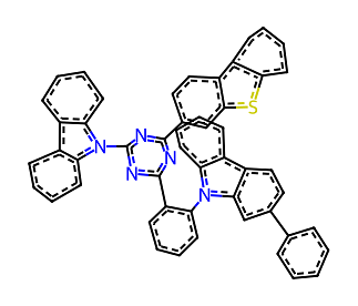 c1ccc(-c2ccc3c4ccccc4n(-c4ccccc4-c4nc(-c5ccc6c(c5)sc5ccccc56)nc(-n5c6ccccc6c6ccccc65)n4)c3c2)cc1